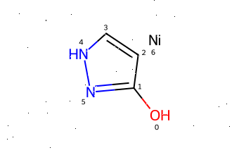 Oc1cc[nH]n1.[Ni]